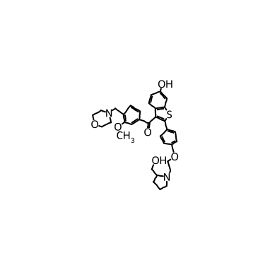 COc1cc(C(=O)c2c(-c3ccc(OCCN4CCCC4CO)cc3)sc3cc(O)ccc23)ccc1CN1CCOCC1